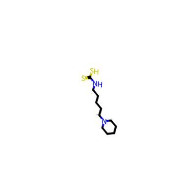 S=C(S)NCCCC[CH]N1CCCCC1